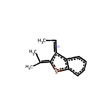 C/C=c1\c(=C(C)C)sc2ccccc12